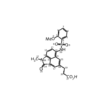 COc1ccccc1S(=O)(=O)Nc1ccc2c3c(cc(CCC(=O)O)cc13)C(=O)N2C